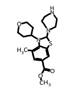 COC(=O)c1cc(C)c2c(c1)SC(N1CCNCC1)N2C1CCOCC1